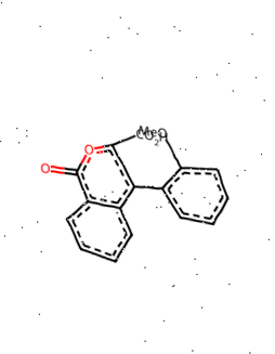 COc1ccccc1-c1c(C(=O)O)oc(=O)c2ccccc12